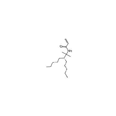 C=CC(=O)NC(C)(C)C(CCCCC)CCCCC